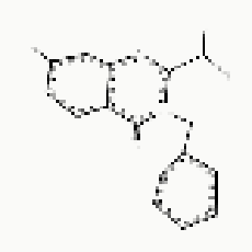 CC(C)C(Br)c1nc2cc(C(F)(F)F)ccc2c(=O)n1Cc1ccccc1